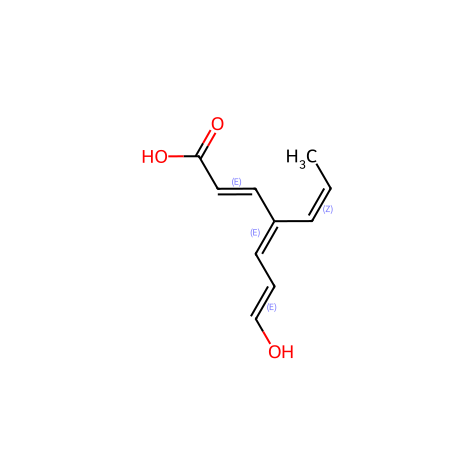 C\C=C/C(/C=C/C(=O)O)=C\C=C\O